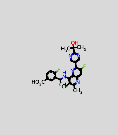 Cc1nc2cc(F)c(-c3cnc(C(C)(C)O)nc3)nc2c(NC(C)c2cc(C(=O)O)ccc2F)c1Cl